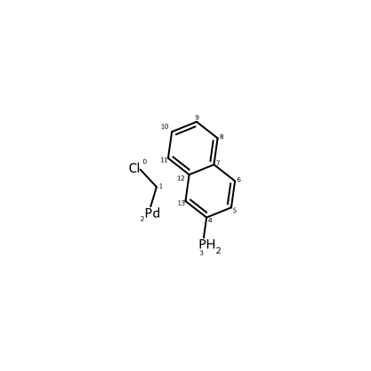 Cl[CH2][Pd].Pc1ccc2ccccc2c1